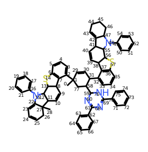 CC1(c2cccc3c2C2C=CC4C(C2S3)N(c2ccccc2)C2=CC=CCC24C)C=CC(c2cccc3c2C2C=CC4C5=CCCCC5N(c5ccccc5)C4C2S3)C(C2N=C(c3ccccc3)N=C(c3ccccc3)N2)C1